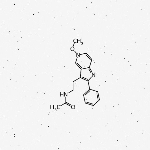 COn1ccc2nc(-c3ccccc3)c(CCNC(C)=O)c-2c1